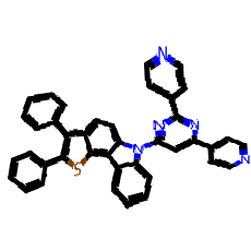 c1ccc(-c2sc3c(ccc4c3c3ccccc3n4-c3cc(-c4ccncc4)nc(-c4ccncc4)n3)c2-c2ccccc2)cc1